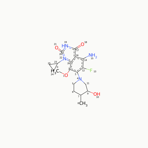 COc1c(N2CCC(C)C(O)C2)c(F)c(N)c2c(=O)[nH]c(=O)n(C3CC3)c12